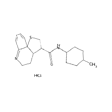 CC1CCC(NC(=O)C2CSC34C=CC=CC3=NCCC24)CC1.Cl